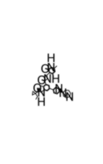 CCC1(C(=O)Nc2cc(-c3ccc(N4CCCN(C)CC4)nc3)cc(C(=O)NCc3c(C)cc(C)[nH]c3=O)c2C)CC1